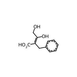 O=C(O)C(Cc1ccccc1)=C(O)CO